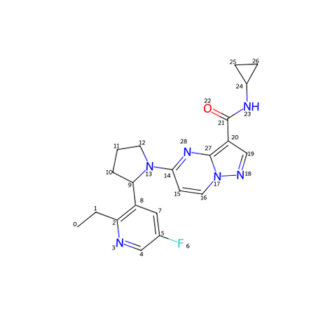 CCc1ncc(F)cc1C1CCCN1c1ccn2ncc(C(=O)NC3CC3)c2n1